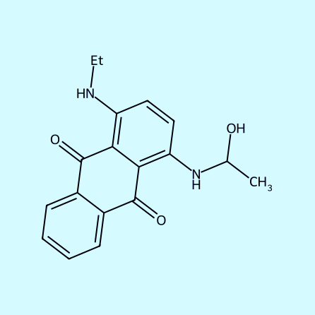 CCNc1ccc(NC(C)O)c2c1C(=O)c1ccccc1C2=O